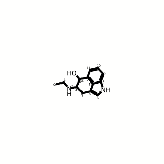 CCNC1Cc2c[nH]c3cccc(c23)C1O